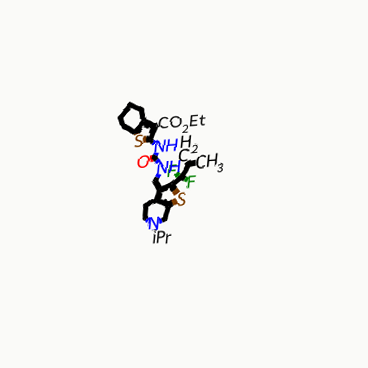 C=C(C)C(F)(F)c1sc2c(c1CNC(=O)Nc1sc3c(c1C(=O)OCC)CCCC3)CCN(C(C)C)C2